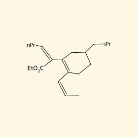 C/C=C\C1=C(C(=C/CCC)/C(=O)OCC)CC(CC(C)C)CC1